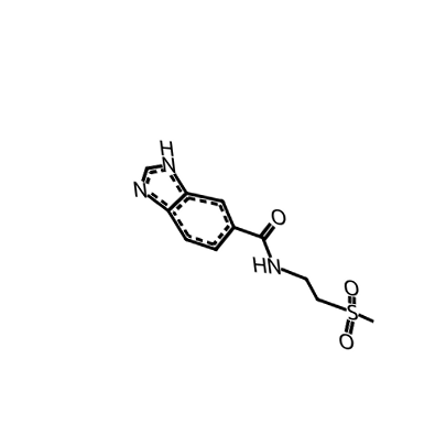 CS(=O)(=O)CCNC(=O)c1ccc2nc[nH]c2c1